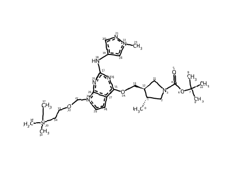 C[C@H]1CN(C(=O)OC(C)(C)C)C[C@@H]1COc1nc(Nc2cnn(C)c2)nc2c1ccn2COCC[Si](C)(C)C